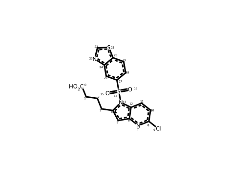 O=C(O)CCCc1cc2nc(Cl)ccc2n1S(=O)(=O)c1ccc2scnc2c1